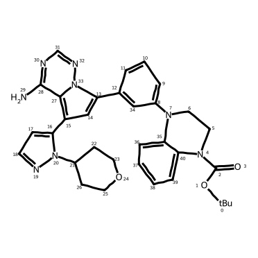 CC(C)(C)OC(=O)N1CCN(c2cccc(-c3cc(-c4ccnn4C4CCOCC4)c4c(N)ncnn34)c2)c2ccccc21